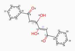 O=C(/C=C(O)/C(O)=C/C(=O)c1ccccc1)c1ccccc1